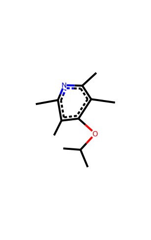 Cc1nc(C)c(C)c(OC(C)C)c1C